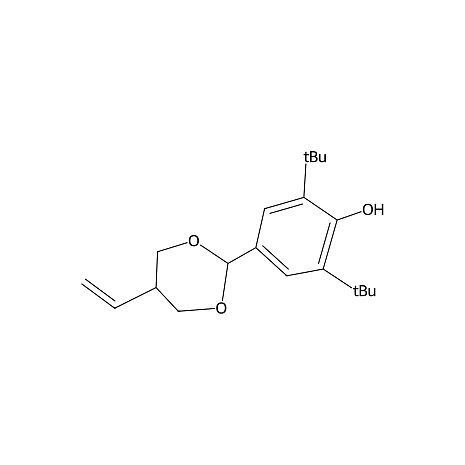 C=CC1COC(c2cc(C(C)(C)C)c(O)c(C(C)(C)C)c2)OC1